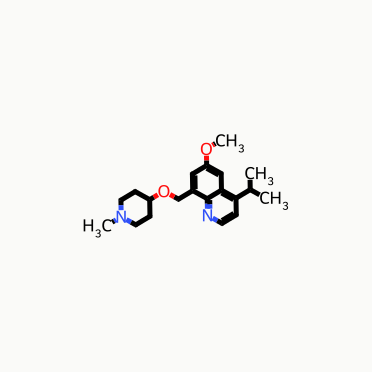 COc1cc(COC2CCN(C)CC2)c2nccc(C(C)C)c2c1